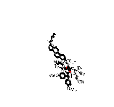 CCCCCCN(O[C@@H]1[C@H](OP(OCCC#N)N(C(C)C)C(C)C)[C@@H](COC(c2ccccc2)(c2ccc(OC)cc2)c2ccc(OC)cc2)O[C@H]1n1ccc(=O)[nH]c1=O)C1(C(=O)O)CC[C@@]2(C)C(=CCC3C2CC[C@@]2(C)C3CC[C@@H]2[C@H](C)CCCC(C)C)C1